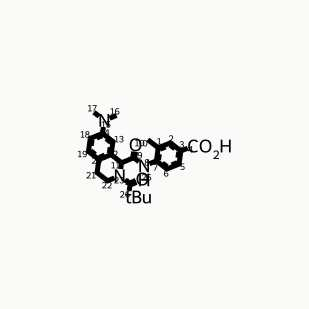 Cc1cc(C(=O)O)ccc1NC(=O)C1c2cc(N(C)C)ccc2CCN1C(=O)C(C)(C)C